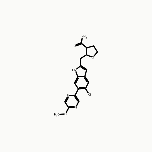 COc1cnc(-c2cc3[nH]c(CC4OCCC4C(N)=O)cc3cc2Cl)cn1